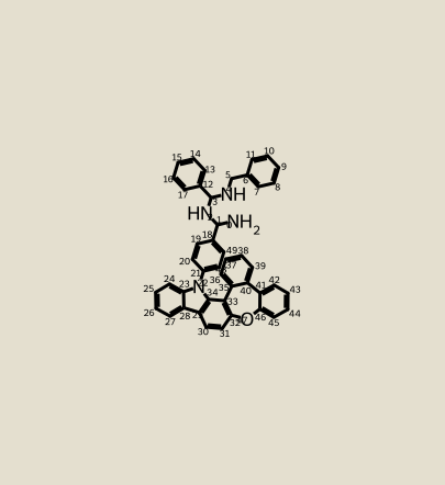 NC(NC(NCc1ccccc1)c1ccccc1)c1ccc(-n2c3ccccc3c3ccc4c(c32)-c2ccccc2-c2ccccc2O4)cc1